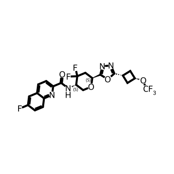 O=C(N[C@H]1CO[C@H](c2nnc([C@H]3C[C@@H](OC(F)(F)F)C3)o2)CC1(F)F)c1ccc2cc(F)ccc2n1